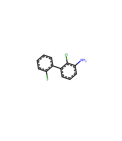 Nc1cccc(-c2ccccc2F)c1Cl